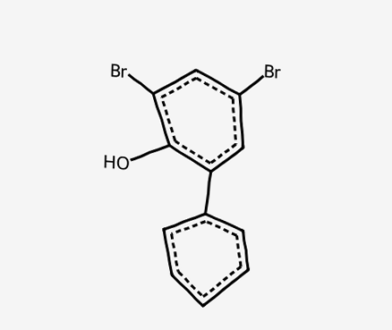 Oc1c(Br)cc(Br)cc1-c1ccccc1